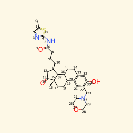 Cc1cnc(NC(=O)CCC[C@@H]2CC(=O)[C@@]3(C)CCC4c5cc(CN6CCOCC6)c(O)cc5CCC4C23)s1